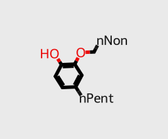 CCCCCCCCCCOc1cc(CCCCC)ccc1O